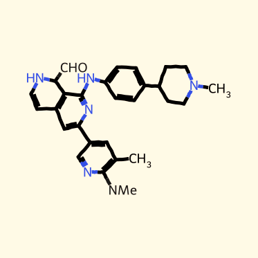 CNc1ncc(-c2cc3c(c(Nc4ccc(C5CCN(C)CC5)cc4)n2)C(C=O)NC=C3)cc1C